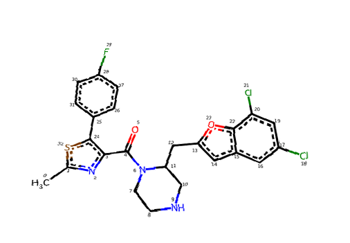 Cc1nc(C(=O)N2CCNCC2Cc2cc3cc(Cl)cc(Cl)c3o2)c(-c2ccc(F)cc2)s1